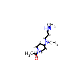 CNCCCN(C)C1CCN(C(C)=O)CC1